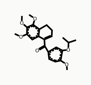 COc1ccc(C(=O)C2=CCCc3c2cc(OC)c(OC)c3OC)cc1OC(C)C